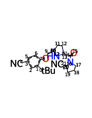 CC(C)(C)c1cc(C#N)ccc1OC[C@H]1CC[C@@H](C(=O)N2CCC[C@H]2C#N)N1